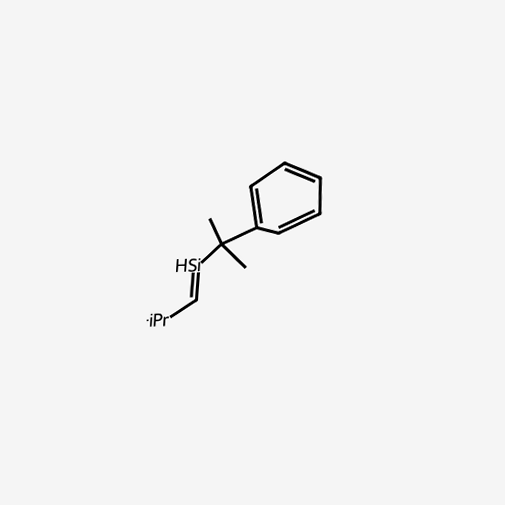 C[C](C)C=[SiH]C(C)(C)c1ccccc1